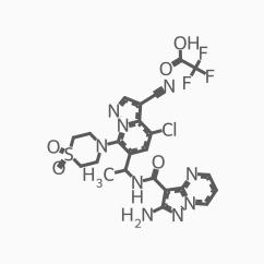 CC(NC(=O)c1c(N)nn2cccnc12)c1cc(Cl)c2c(C#N)cnn2c1N1CCS(=O)(=O)CC1.O=C(O)C(F)(F)F